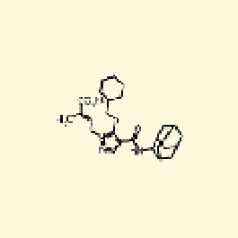 CCOC(=O)/C(C)=C/Cn1ncc(C(=O)NC2C3CC4CC(C3)CC2C4)c1OCC1CCCCC1